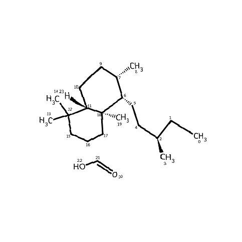 CC[C@@H](C)CC[C@H]1[C@@H](C)CC[C@H]2C(C)(C)CCC[C@]12C.O=CO